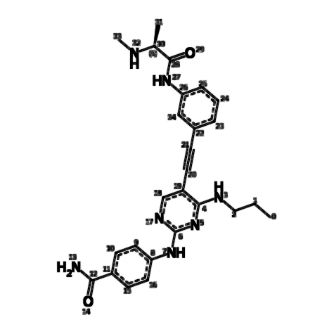 CCCNc1nc(Nc2ccc(C(N)=O)cc2)ncc1C#Cc1cccc(NC(=O)[C@H](C)NC)c1